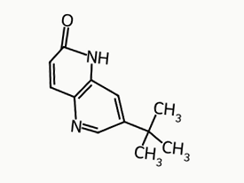 CC(C)(C)c1cnc2ccc(=O)[nH]c2c1